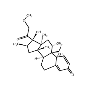 COCC(=O)[C@@]1(O)[C@H](C)C[C@@]2(C)[C@@H]3CCC4=CC(=O)C=C[C@]4(C)[C@@]3(CF)[C@@H](O)C[C@@]21C